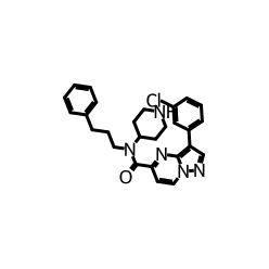 O=C(c1ccn2ncc(-c3cccc(Cl)c3)c2n1)N(CCCc1ccccc1)C1CCNCC1